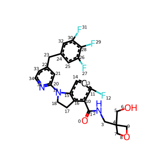 O=C(NCC1(CO)COC1)c1c(F)ccc2c1CCN2c1cc(Cc2cc(F)c(F)c(F)c2)ccn1